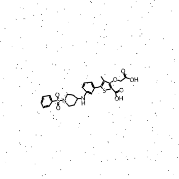 Cc1c(-c2cccc(NC3CCN(S(=O)(=O)c4ccccc4)CC3)c2)sc(C(=O)O)c1OCC(=O)O